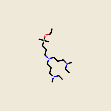 CCO[Si](C)(C)CCCN(CCCN(C)CC)CCCN(C)CC